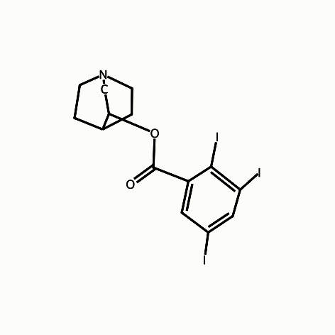 O=C(OC1CN2CCC1CC2)c1cc(I)cc(I)c1I